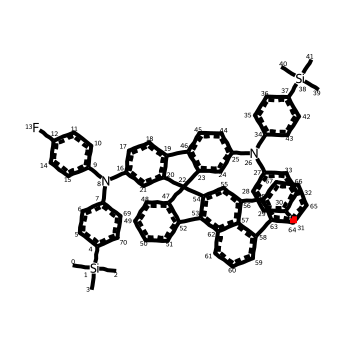 C[Si](C)(C)c1ccc(N(c2ccc(F)cc2)c2ccc3c(c2)C2(c4cc(N(c5ccc(F)cc5)c5ccc([Si](C)(C)C)cc5)ccc4-3)c3ccccc3-c3c2cc2c4c(cccc34)-c3ccccc3-2)cc1